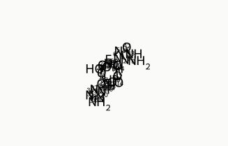 Nc1nc2c(ncn2[C@@H]2O[C@@H]3CO[PH](=O)O[C@@H]4C(COP(=O)(O)O[C@H]3[C@H]2F)O[C@@H](n2cnc3c(N)ncnc32)[C@@H]4F)c(=O)[nH]1